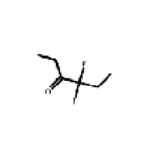 CCC(=O)C(F)(F)CC